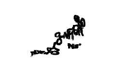 CCCCCCCCCCCC1OCC(COC(=O)NCC(O)CS(=O)(=O)[O-])O1.[Na+]